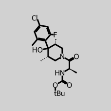 Cc1cc(Cl)cc(F)c1C1(O)[C@H](C)CN(C(=O)[C@@H](C)NC(=O)OC(C)(C)C)C[C@@H]1C